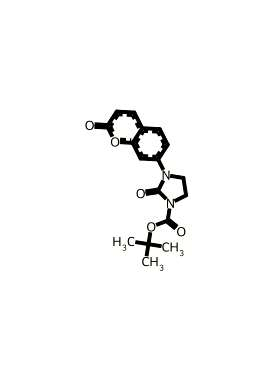 CC(C)(C)OC(=O)N1CCN(c2ccc3ccc(=O)oc3c2)C1=O